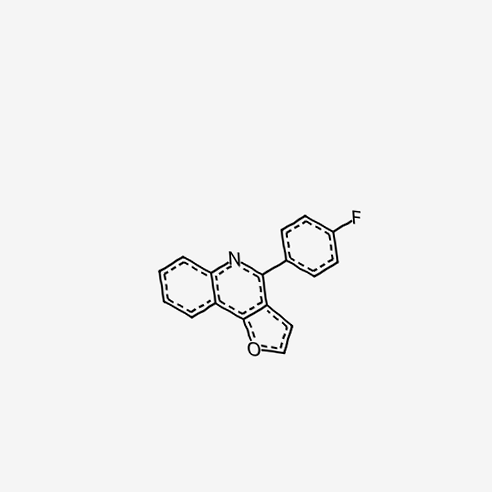 Fc1ccc(-c2nc3ccccc3c3occc23)cc1